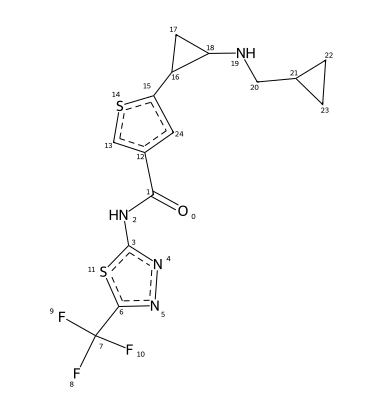 O=C(Nc1nnc(C(F)(F)F)s1)c1csc(C2CC2NCC2CC2)c1